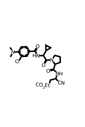 CCOC(=O)CC(C#N)NC(=O)C1CCCN1C(=O)C(NC(=O)c1ccc(N(C)C)c(Cl)c1)C1CC1